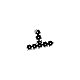 c1ccc(-c2ccc(-c3ccc(-c4ccc(-c5ccccc5)cc4)c4nn(-c5ccc(-c6cccnc6)cc5)nc34)cc2)cc1